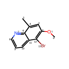 COc1cc(C)c2ncccc2c1Br